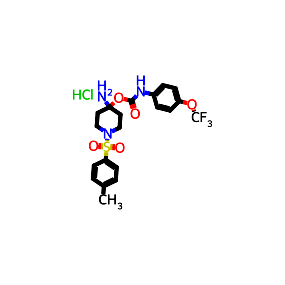 Cc1ccc(S(=O)(=O)N2CCC(N)(OC(=O)Nc3ccc(OC(F)(F)F)cc3)CC2)cc1.Cl